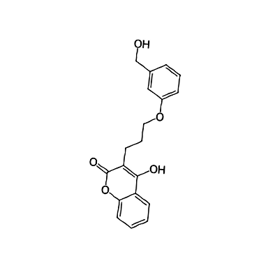 O=c1oc2ccccc2c(O)c1CCCOc1cccc(CO)c1